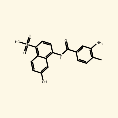 Cc1ccc(C(=O)Nc2ccc(S(=O)(=O)O)c3ccc(O)cc23)cc1N